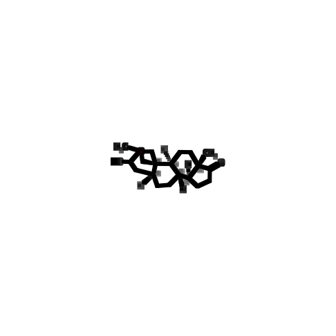 COC[C@]12CCC(O)C[C@H]1CC[C@@H]1[C@@H]2CC[C@]2(C)C(=O)CC[C@@H]12